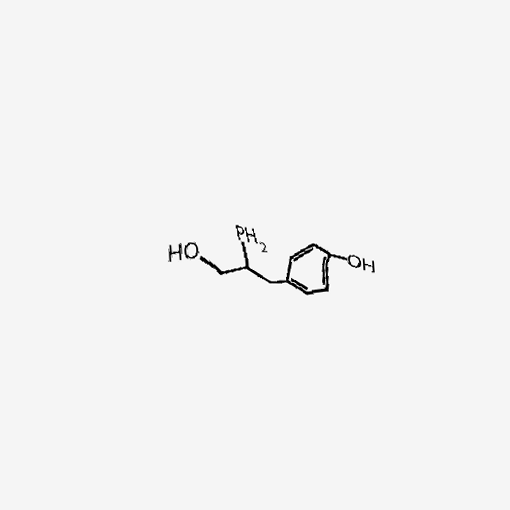 OCC(P)Cc1ccc(O)cc1